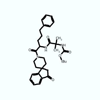 CC(C)(C)OC(=O)NC(C)(C)C(=O)NC(CCCc1ccccc1)C(=O)N1CCC2(CC1)CC(=O)c1ccccc12